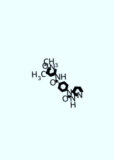 COc1ncc(NC(=O)[C@H]2CC[C@@H](n3c(=O)[nH]c4ncccc43)CC2)cc1C